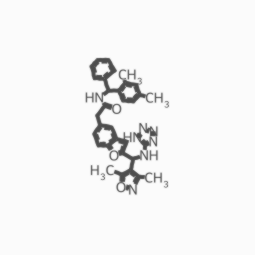 Cc1ccc(C(NC(=O)Cc2ccc3oc(C(Nc4nnn[nH]4)c4c(C)noc4C)cc3c2)c2ccccc2)c(C)c1